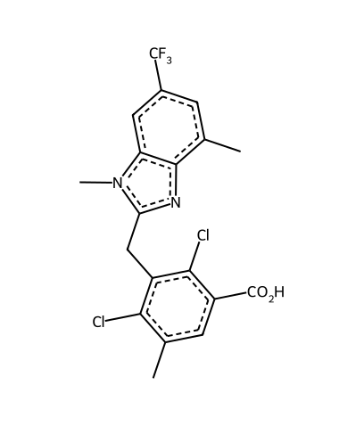 Cc1cc(C(=O)O)c(Cl)c(Cc2nc3c(C)cc(C(F)(F)F)cc3n2C)c1Cl